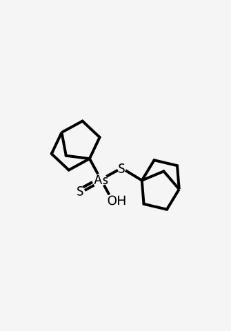 O[As](=S)(SC12CCC(CC1)C2)C12CCC(CC1)C2